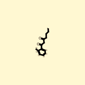 CCCCC(=O)CC(=O)c1ccccc1C